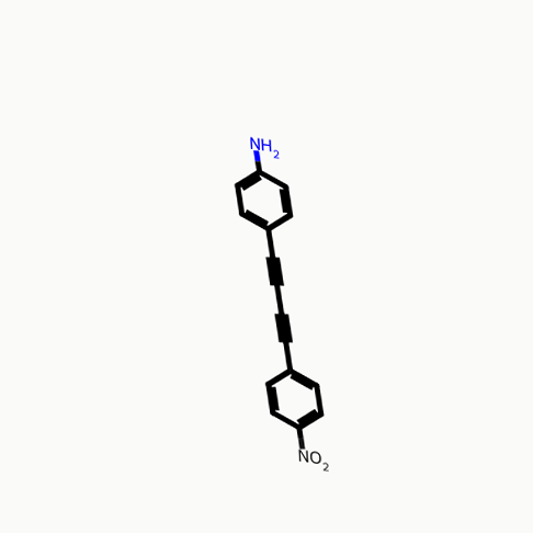 Nc1ccc(C#CC#Cc2ccc([N+](=O)[O-])cc2)cc1